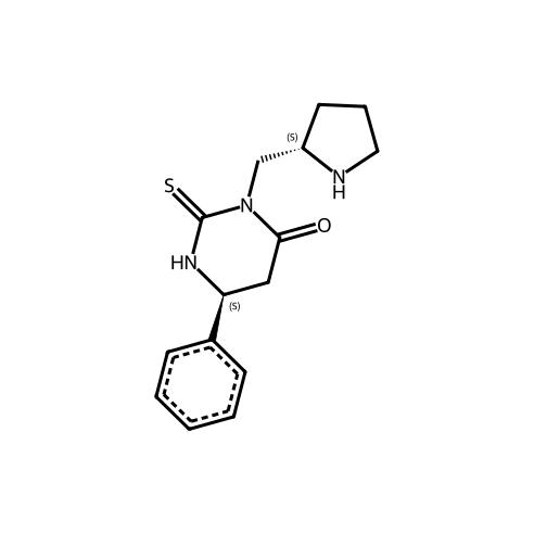 O=C1C[C@@H](c2ccccc2)NC(=S)N1C[C@@H]1CCCN1